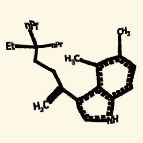 C=C(CCC(CC)(CCC)CCC)c1c[nH]c2ccc(C)c(C)c12